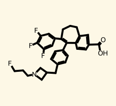 O=C(O)c1ccc2c(c1)CCCC(c1cc(F)c(F)c(F)c1)=C2c1ccc(CC2CN(CCCF)C2)cc1